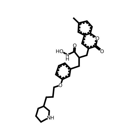 Cc1ccc2oc(=O)c(CC(Cc3cccc(OCCCC4CCCNC4)c3)C(=O)NO)cc2c1